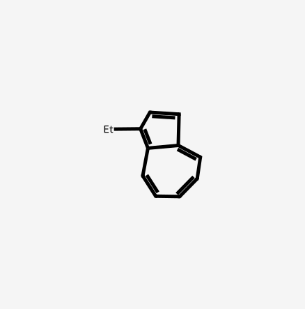 [CH2]Cc1ccc2cccccc1-2